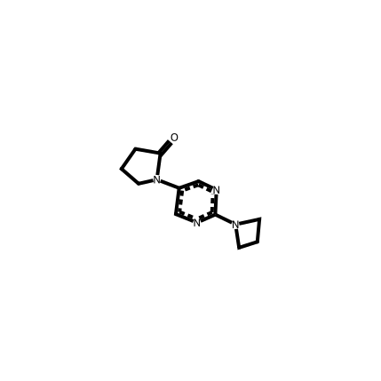 O=C1CCCN1c1cnc(N2CCC2)nc1